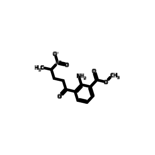 COC(=O)c1cccc(C(=O)CCC(C)[N+](=O)[O-])c1N